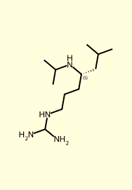 CC(C)C[C@H](CCCNC(N)N)NC(C)C